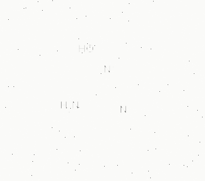 Cn1cc[n+](O)c1N